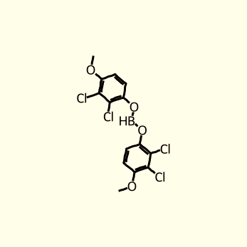 COc1ccc(OBOc2ccc(OC)c(Cl)c2Cl)c(Cl)c1Cl